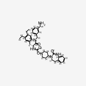 CCc1ccc(C[C@@H](NC(=O)ON2CCC(N3CCc4ccccc4NC3=O)CC2)C(=O)NCc2cccc(CN)c2)cc1CC